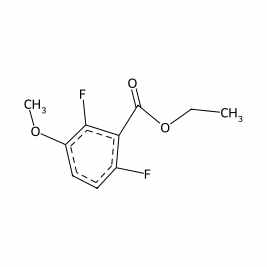 CCOC(=O)c1c(F)ccc(OC)c1F